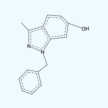 Cc1nn(Cc2ccccc2)c2cc(O)ccc12